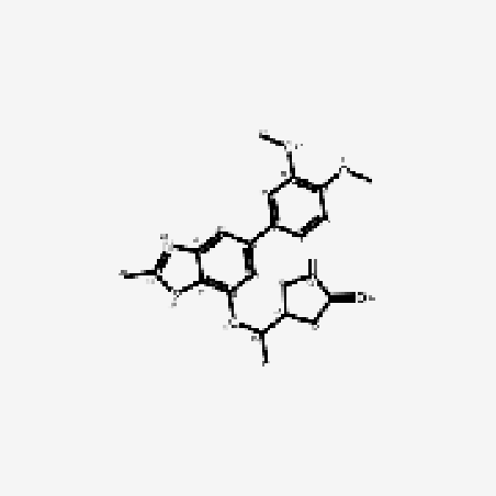 COc1ccc(-c2cc(OC(C)C3CNC(=O)C3)c3sc(C)nc3c2)cc1OC